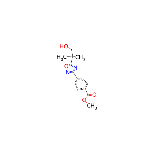 COC(=O)c1ccc(-c2noc(C(C)(C)CO)n2)cc1